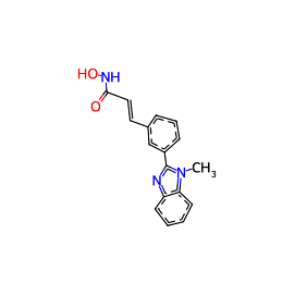 Cn1c(-c2cccc(C=CC(=O)NO)c2)nc2ccccc21